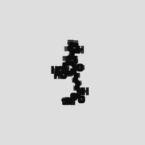 CC(C)(C)OC(=O)NCCCCN1CC(O)(O)Sc2cc(C3=CC=C[IH]3)sc2C1=O